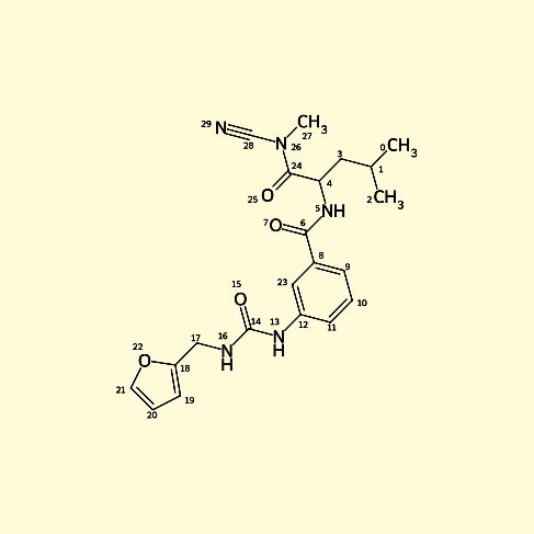 CC(C)CC(NC(=O)c1cccc(NC(=O)NCc2ccco2)c1)C(=O)N(C)C#N